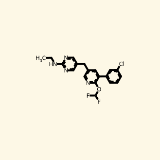 CCNc1ncc(Cc2cnc(OC(F)F)c(-c3cccc(Cl)c3)c2)cn1